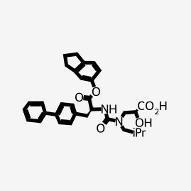 CC(C)CN(C[C@H](O)C(=O)O)C(=O)N[C@@H](Cc1ccc(-c2ccccc2)cc1)C(=O)Oc1ccc2c(c1)CCC2